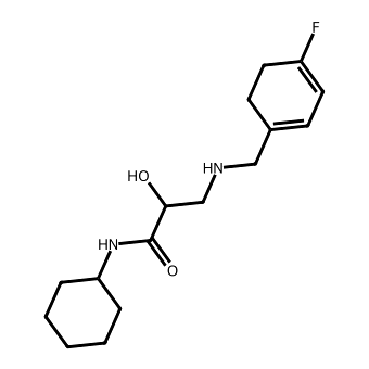 O=C(NC1CCCCC1)C(O)CNCC1=CC=C(F)CC1